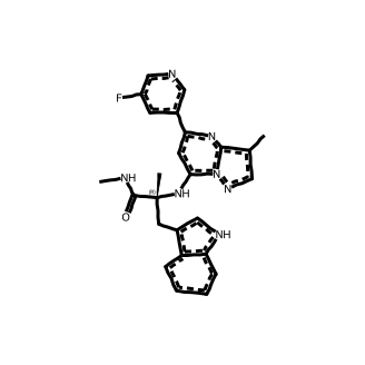 CNC(=O)[C@@](C)(Cc1c[nH]c2ccccc12)Nc1cc(-c2cncc(F)c2)nc2c(C)cnn12